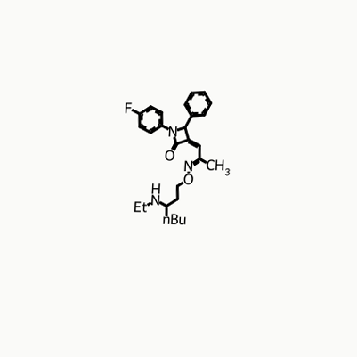 CCCCC(CCON=C(C)C=C1C(=O)N(c2ccc(F)cc2)C1c1ccccc1)NCC